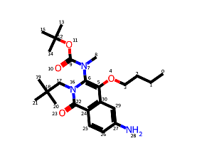 CCCCOc1c(N(C)C(=O)OC(C)(C)C)n(CC(C)(C)C)c(=O)c2ccc(N)cc12